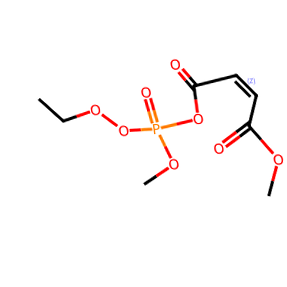 CCOOP(=O)(OC)OC(=O)/C=C\C(=O)OC